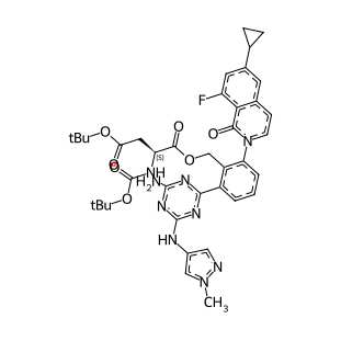 Cn1cc(Nc2nc(N)nc(-c3cccc(-n4ccc5cc(C6CC6)cc(F)c5c4=O)c3COC(=O)[C@H](CC(=O)OC(C)(C)C)NC(=O)OC(C)(C)C)n2)cn1